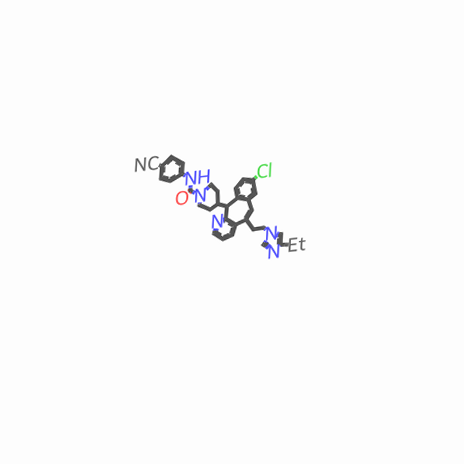 CCc1cn(CCC2=Cc3cc(Cl)ccc3C(C3CCN(C(=O)Nc4ccc(C#N)cc4)CC3)c3ncccc32)cn1